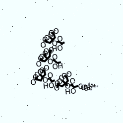 CC(O)C(=O)OC(CC(=O)[O-])(CC(=O)[O-])C(=O)[O-].CC(O)C(=O)OC(CC(=O)[O-])(CC(=O)[O-])C(=O)[O-].CC(O)C(=O)OC(CC(=O)[O-])(CC(=O)[O-])C(=O)[O-].CC(O)C(=O)OC(CC(=O)[O-])(CC(=O)[O-])C(=O)[O-].[Ge+4].[Ge+4].[Ge+4]